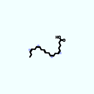 CC/C=C\C/C=C\CC=CC/C=C\C/C=C\CCCC(=O)O